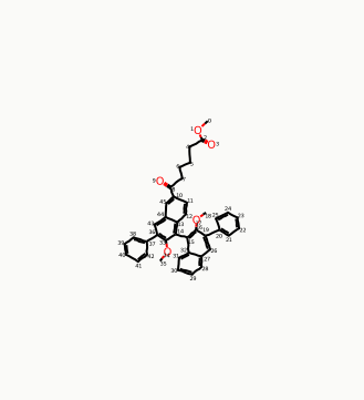 COC(=O)CCCCC(=O)c1ccc2c(-c3c(OC)c(-c4ccccc4)cc4ccccc34)c(OC)c(-c3ccccc3)cc2c1